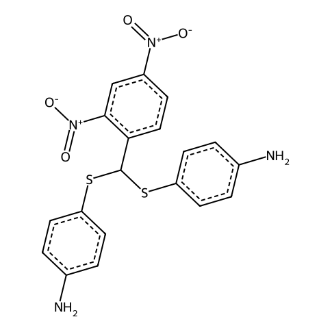 Nc1ccc(SC(Sc2ccc(N)cc2)c2ccc([N+](=O)[O-])cc2[N+](=O)[O-])cc1